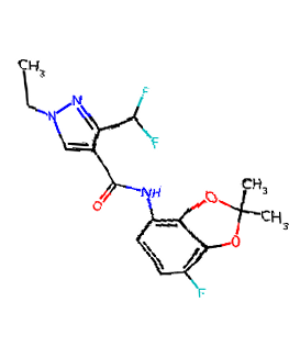 CCn1cc(C(=O)Nc2ccc(F)c3c2OC(C)(C)O3)c(C(F)F)n1